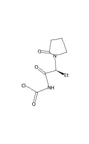 CC[C@@H](C(=O)NC(=O)Cl)N1CCCC1=O